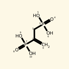 C=C(CP(=O)(O)O)P(=O)(O)O